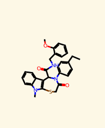 CCc1ccc(N2C(=O)CSc3c(c4ccccc4n3C)C2C(=O)NCc2ccccc2OC)cc1